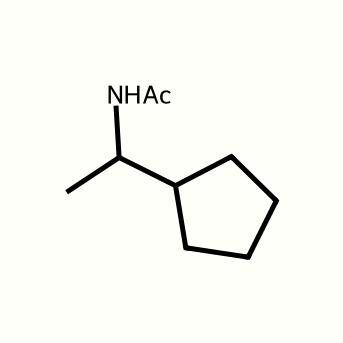 CC(=O)NC(C)C1CCCC1